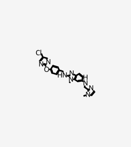 Cn1ccnc1CNc1ccc2nc(NCc3ccc(Oc4ncc(Cl)cn4)cc3)n(C)c2c1